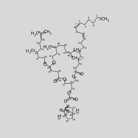 CCCCC/C=C\C/C=C\CCCCCCCC(=O)OCC(COC(=O)CCC(OCCC(C)CCC=C(C)C)OCCC(C)CCC=C(C)C)COC(=O)O[C@@H]1C[C@H]2CC[C@@H](C1)N2C